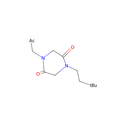 CC(=O)CN1CC(=O)N(CCC(C)(C)C)CC1=O